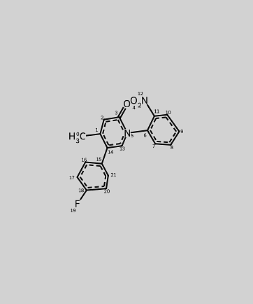 Cc1cc(=O)n(-c2ccccc2[N+](=O)[O-])cc1-c1ccc(F)cc1